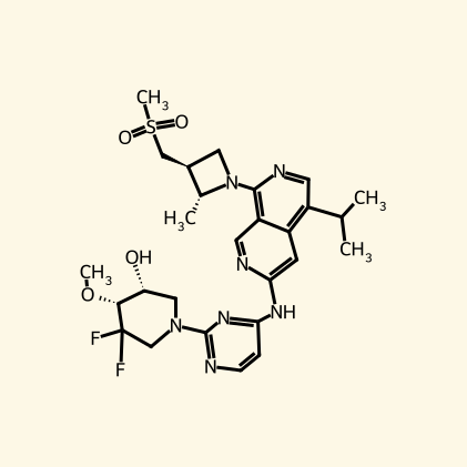 CO[C@@H]1[C@H](O)CN(c2nccc(Nc3cc4c(C(C)C)cnc(N5C[C@H](CS(C)(=O)=O)[C@H]5C)c4cn3)n2)CC1(F)F